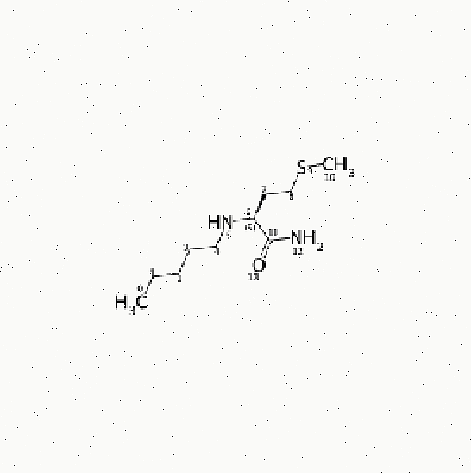 CCCCCN[C@@H](CCSC)C(N)=O